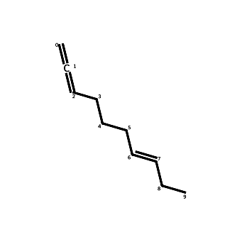 C=C=CCCCC=CCC